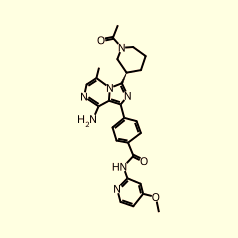 COc1ccnc(NC(=O)c2ccc(-c3nc([C@@H]4CCCN(C(C)=O)C4)n4c(C)cnc(N)c34)cc2)c1